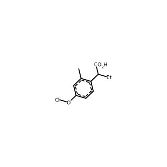 CCC(C(=O)O)c1ccc(OCl)cc1C